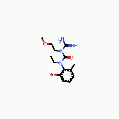 CCN(C(=O)N(CCOC)C(=N)N)c1c(C)cccc1Br